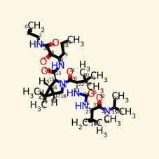 C=CCNC(=O)C(=O)C(CCC)NC(=O)[C@@H]1[C@@H]2[C@H](CN1C(=O)[C@@H](NC(=O)N[C@@H](C(=C)C)C(=O)N(C)C(C)C)C(C)(C)C)C2(C)C